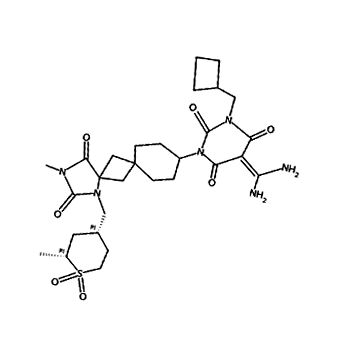 C[C@@H]1C[C@H](CN2C(=O)N(C)C(=O)C23CC2(CCC(N4C(=O)C(=C(N)N)C(=O)N(CC5CCC5)C4=O)CC2)C3)CCS1(=O)=O